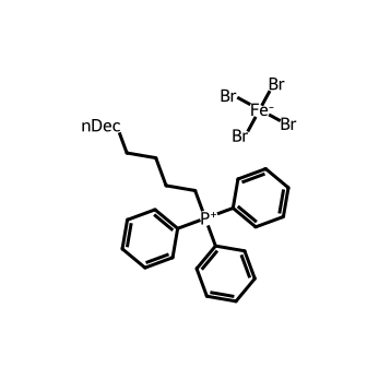 CCCCCCCCCCCCCC[P+](c1ccccc1)(c1ccccc1)c1ccccc1.[Br][Fe-]([Br])([Br])[Br]